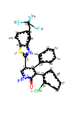 O=c1[nH]cc(-c2nc3cc(C(F)(F)F)ccc3s2)c(-c2ccccc2)c1-c1ccccc1Cl